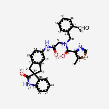 Cc1scnc1C(=O)N(CC(=O)Nc1ccc2c(c1)CC1(C2)C(=O)Nc2ccccc21)Cc1ccccc1C=O